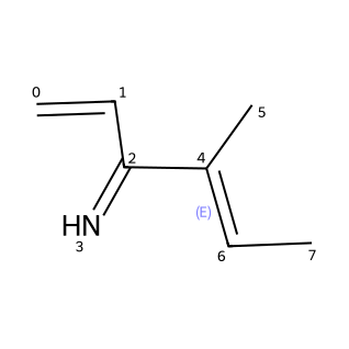 C=CC(=N)/C(C)=C/C